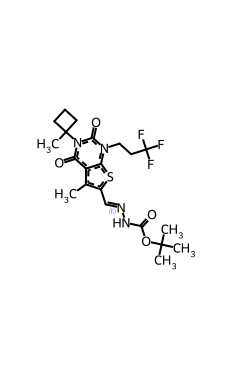 Cc1c(/C=N/NC(=O)OC(C)(C)C)sc2c1c(=O)n(C1(C)CCC1)c(=O)n2CCC(F)(F)F